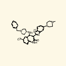 CN1CCN(c2ccc3[nH]c(-c4c(NC5CCN(Cc6ccccc6)CC5)c5cc(Cl)ccc5[nH]c4=O)nc3c2)CC1